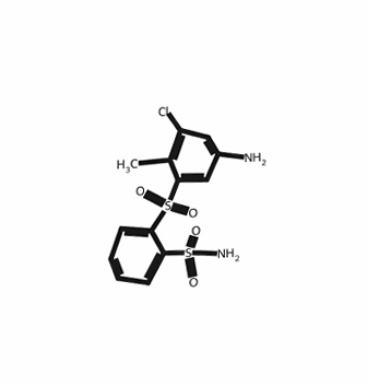 Cc1c(Cl)cc(N)cc1S(=O)(=O)c1ccccc1S(N)(=O)=O